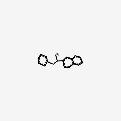 CC(Oc1[c]cccc1)c1ccc2ccccc2c1